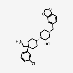 Cl.NC[C@]1(c2cccc(Cl)c2)CC[C@@H](N2CCN(Cc3ccc4c(c3)OCO4)CC2)CC1